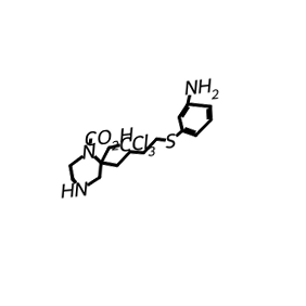 Nc1cccc(SCCCCC2(CC(Cl)(Cl)Cl)CNCCN2C(=O)O)c1